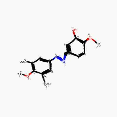 COc1cc(/N=N/c2ccc(OC(F)(F)F)c(O)c2)cc(OC)c1OC(F)(F)F